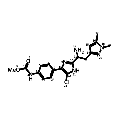 COC(=O)Nc1ccc(-c2nc([C@@H](N)Cc3cc(C)n(C)n3)[nH]c2Cl)cc1